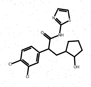 O=C(Nc1nccs1)C(CC1CCCC1O)c1ccc(Cl)c(Cl)c1